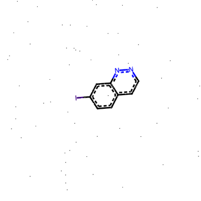 Ic1ccc2ccnnc2c1